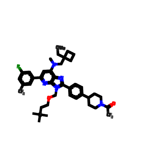 COCC1(CN(C)c2cc(-c3cc(F)cc(C(F)(F)F)c3)nc3c2nc(-c2ccc(C4CCN(C(=O)C(F)(F)F)CC4)cc2)n3COCC[Si](C)(C)C)CCC1